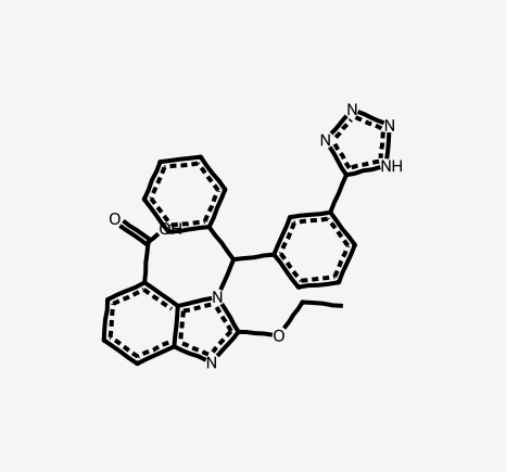 CCOc1nc2cccc(C(=O)O)c2n1C(c1ccccc1)c1cccc(-c2nnn[nH]2)c1